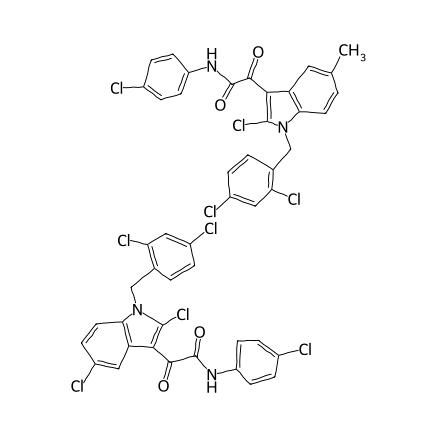 Cc1ccc2c(c1)c(C(=O)C(=O)Nc1ccc(Cl)cc1)c(Cl)n2Cc1ccc(Cl)cc1Cl.O=C(Nc1ccc(Cl)cc1)C(=O)c1c(Cl)n(Cc2ccc(Cl)cc2Cl)c2ccc(Cl)cc12